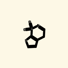 O=S1(=O)N=CCc2ccsc21